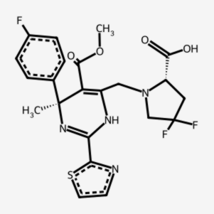 COC(=O)C1=C(CN2CC(F)(F)C[C@H]2C(=O)O)NC(c2nccs2)=N[C@@]1(C)c1ccc(F)cc1